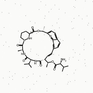 CC(C)[C@H](N)C(=O)O[C@@H](C)[C@H]1/C=C/c2ccc3ccc(nc3c2)[C@@H](C)OC(=O)[C@@H]2CCCN(N2)C(=O)[C@H](C)NC(=O)[C@H](C(C)C)NC1=O